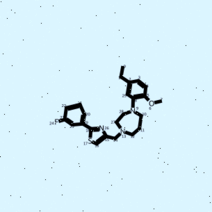 CCc1ccc(OC)c(N2CCCN(Cc3csc(-c4cccc(F)c4)n3)CC2)c1